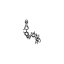 Cc1nc(N2C[C@H]3C[C@@H]2CO3)cc(-n2ncc3cc(C)c(C4CCN(C5COC5)CC4C)cc32)n1